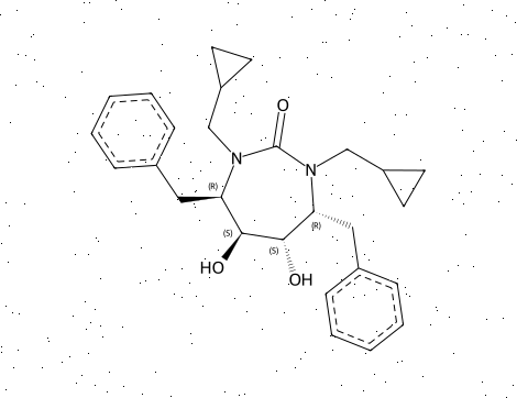 O=C1N(CC2CC2)[C@H](Cc2ccccc2)[C@H](O)[C@@H](O)[C@@H](Cc2ccccc2)N1CC1CC1